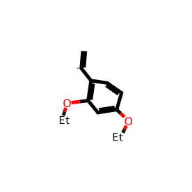 C=[C]c1ccc(OCC)cc1OCC